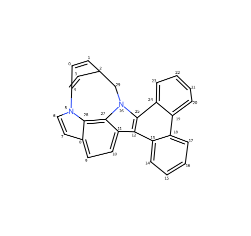 C1=CC2C=C1n1ccc3ccc4c5c6ccccc6c6ccccc6c5n(c4c31)C2